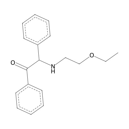 CCOCCNC(C(=O)c1ccccc1)c1ccccc1